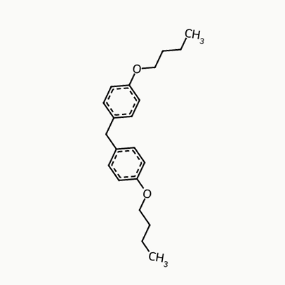 CCCCOc1ccc(Cc2ccc(OCCCC)cc2)cc1